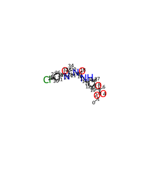 CCOC(=O)C(C)(C)Oc1c(C)cc(CNCC(=O)N(C)Cc2nc(-c3ccc(Cl)cc3)oc2C)cc1C